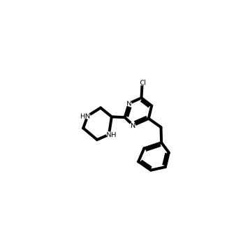 Clc1cc(Cc2ccccc2)nc(C2CNCCN2)n1